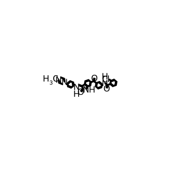 CN1CCN(c2ccc(NC=C3C(=O)Nc4cc(C(=O)c5cccc(NC(=O)c6ccccc6Cl)c5)ccc43)cc2)CC1